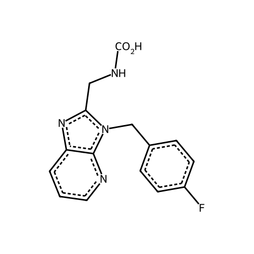 O=C(O)NCc1nc2cccnc2n1Cc1ccc(F)cc1